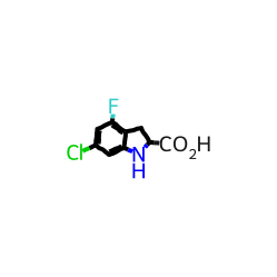 O=C(O)C1Cc2c(F)cc(Cl)cc2N1